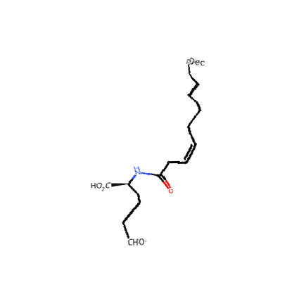 CCCCCCCCCCCCCC/C=C\CC(=O)N[C@@H](CC[C]=O)C(=O)O